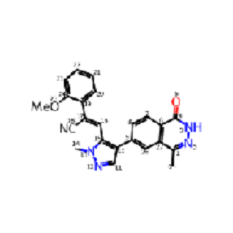 [CH2]c1n[nH]c(=O)c2ccc(-c3cnn(C)c3C=C(C#N)c3ccccc3OC)cc12